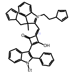 CCn1c(-c2ccccc2)c(C2=C(O)/C(=C/C3=[N+](CCC4C=CC=C4)c4ccccc4C3(C)CC3C=CC=C3)C2=O)c2ccccc21